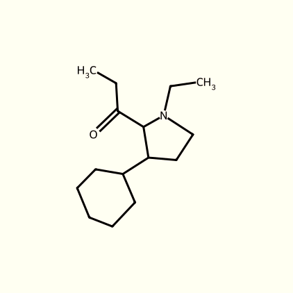 CCC(=O)C1C(C2CCCCC2)CCN1CC